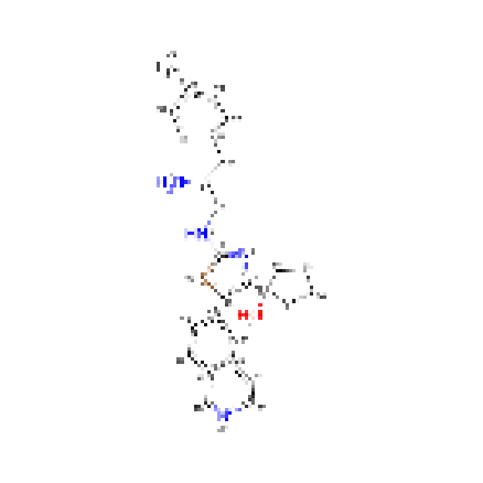 N[C@H](CNc1nc(C2(O)CCCC2)c(-c2ccc3cnccc3c2)s1)Cc1ccc(C(F)(F)F)cc1